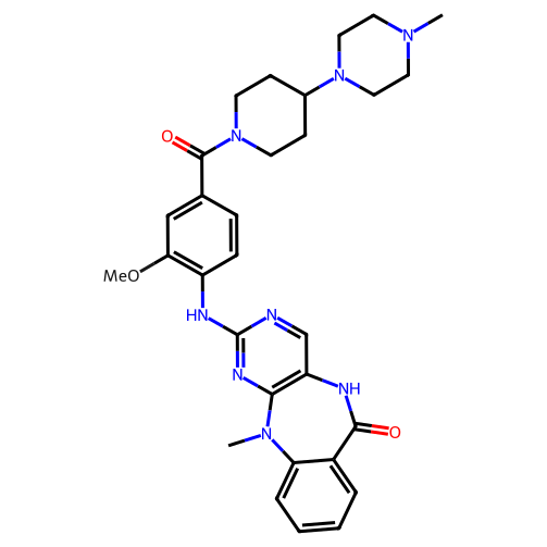 COc1cc(C(=O)N2CCC(N3CCN(C)CC3)CC2)ccc1Nc1ncc2c(n1)N(C)c1ccccc1C(=O)N2